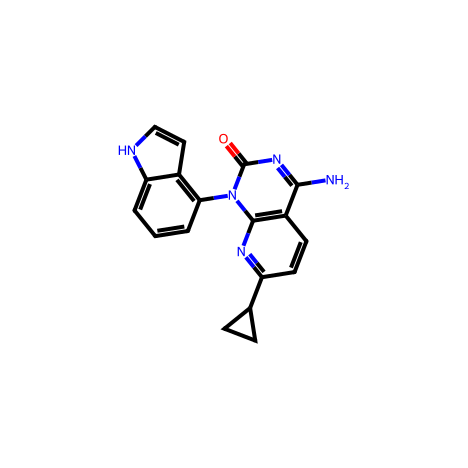 Nc1nc(=O)n(-c2cccc3[nH]ccc23)c2nc(C3CC3)ccc12